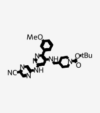 COc1cccc(-c2nnc(Nc3cnc(C#N)cn3)cc2NCC2CCN(C(=O)OC(C)(C)C)CC2)c1